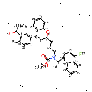 COC(=O)c1cc(C2C[C@H](CCCN(C(=O)OC(C)(C)C)[C@H](C)c3ccc(F)c4ccccc34)Oc3ccccc32)ccc1C